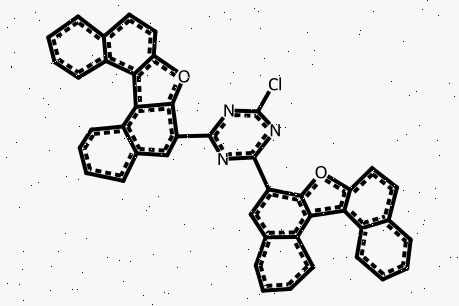 Clc1nc(-c2cc3ccccc3c3c2oc2ccc4ccccc4c23)nc(-c2cc3ccccc3c3c2oc2ccc4ccccc4c23)n1